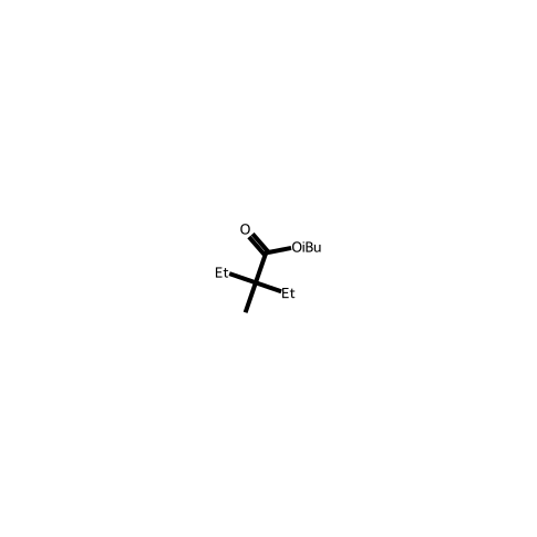 CCC(C)(CC)C(=O)OCC(C)C